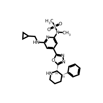 CN(c1cc(-c2nnc([C@H]3NCCC[C@H]3c3ccccc3)o2)cc(NCC2CC2)n1)S(C)(=O)=O